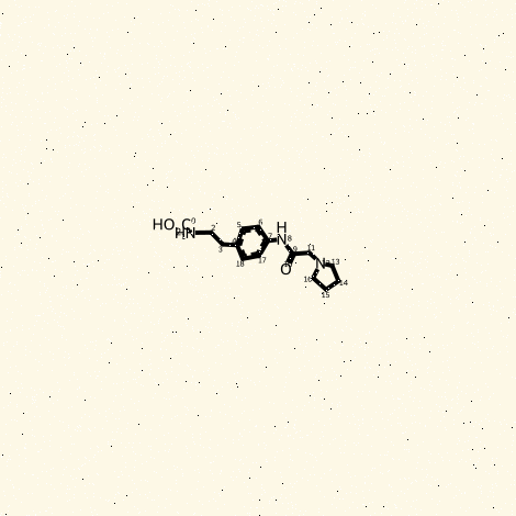 O=C(O)NCCc1ccc(NC(=O)CN2CCCC2)cc1